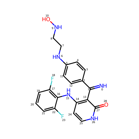 N=C(c1ccc(NCCNO)cc1)c1c(Nc2c(F)cccc2F)cc[nH]c1=O